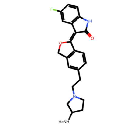 CC(=O)NC1CCN(CCc2ccc3c(c2)COC3=C2C(=O)Nc3ccc(F)cc32)C1